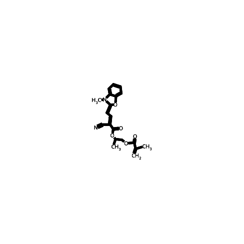 C=C(C)C(=O)OCC(C)OC(=O)/C(C#N)=C/C=C1\Oc2ccccc2N1C